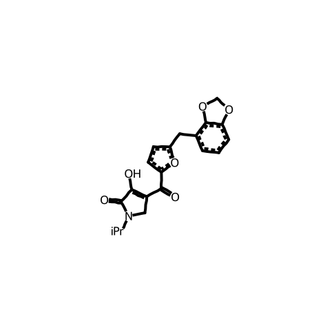 CC(C)N1CC(C(=O)c2ccc(Cc3cccc4c3OCO4)o2)=C(O)C1=O